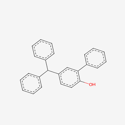 Oc1ccc(C(c2ccccc2)c2ccccc2)cc1-c1ccccc1